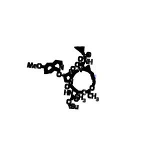 COc1ccc2c(O[C@@H]3C[C@H]4C(=O)N[C@]5(C(=O)NS(=O)(=O)C6CC6)CC5/C=C\CO[C@@H](C)C[C@@H](C)[C@H](NC(=O)OC(C)(C)C)C(=O)N4C3)nccc2c1